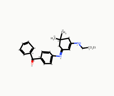 CCOC(=O)CNC1=C/C(=N/c2ccc(C(=O)c3ccccc3)cc2)CC(C)(C)C1